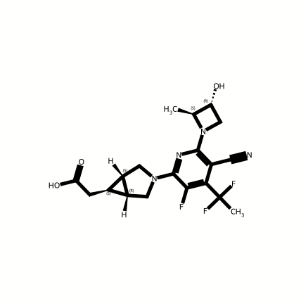 C[C@H]1[C@H](O)CN1c1nc(N2C[C@@H]3[C@@H](CC(=O)O)[C@@H]3C2)c(F)c(C(C)(F)F)c1C#N